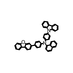 c1ccc2c(N(c3ccc(-c4ccc5c(c4)oc4ccccc45)cc3)c3ccc(-n4c5ccccc5c5ccccc54)cc3)cccc2c1